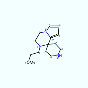 COCCN1CCn2cccc2C12CCNCC2